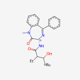 CCCCC(O)C(CC)C(=O)N[C@H]1N=C(c2ccccc2)c2ccccc2N(C)C1=O